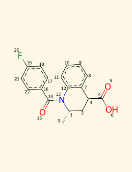 C[C@H]1C[C@H](C(=O)O)c2ccccc2N1C(=O)c1ccc(F)cc1